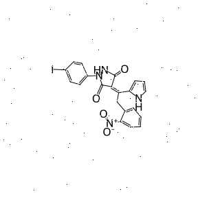 O=C1NN(c2ccc(I)cc2)C(=O)C1=C(Cc1ccccc1[N+](=O)[O-])c1ccc[nH]1